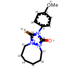 COc1ccc(-n2c(=O)n3n(c2=S)CCCCCC3)cc1